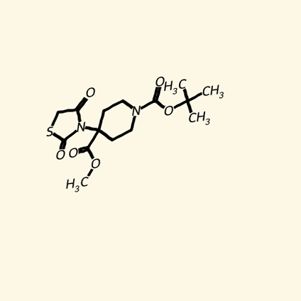 COC(=O)C1(N2C(=O)CSC2=O)CCN(C(=O)OC(C)(C)C)CC1